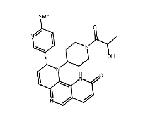 CSc1ccc([C@H]2C=Cc3ncc4ccc(=O)[nH]c4c3N2C2CCN(C(=O)C(C)O)CC2)cn1